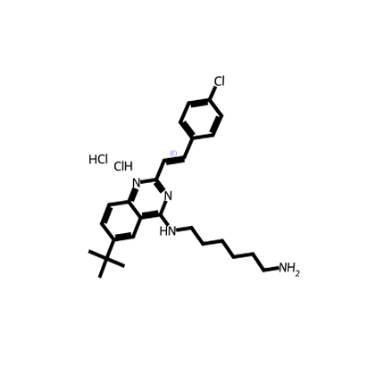 CC(C)(C)c1ccc2nc(/C=C/c3ccc(Cl)cc3)nc(NCCCCCCN)c2c1.Cl.Cl